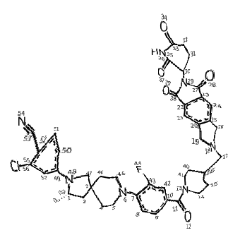 C[C@H]1CC2(CCN(c3ccc(C(=O)N4CCC(CN5Cc6cc7c(cc6C5)C(=O)N(C5CCC(=O)NC5=O)C7=O)CC4)cc3F)CC2)CN1c1ccc(C#N)c(Cl)c1